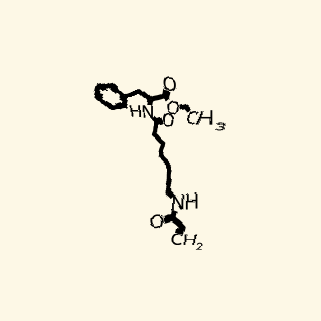 C=CC(=O)NCCCCCC(=O)NC(Cc1ccccc1)C(=O)OCC